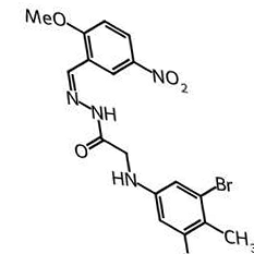 COc1ccc([N+](=O)[O-])cc1/C=N\NC(=O)CNc1cc(Br)c(C)c(Br)c1